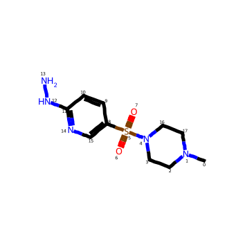 CN1CCN(S(=O)(=O)c2ccc(NN)nc2)CC1